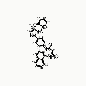 O=C1CC(=O)N(c2ccc(-c3nccn3Cc3ccccc3C(F)(F)F)cc2)c2ccc3ccccc3c2N1